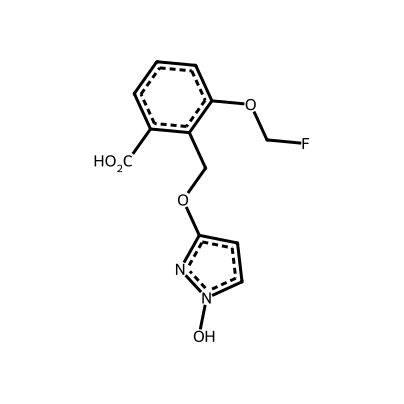 O=C(O)c1cccc(OCF)c1COc1ccn(O)n1